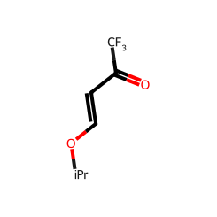 CC(C)OC=CC(=O)C(F)(F)F